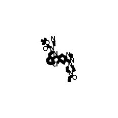 C=CC(=O)N1CCN(c2ncnc3cc(-c4nc(N(CC#N)C(=O)OC(C)(C)C)cc5ccccc45)c(Cl)cc23)CC1